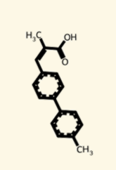 CC(=Cc1ccc(-c2ccc(C)cc2)cc1)C(=O)O